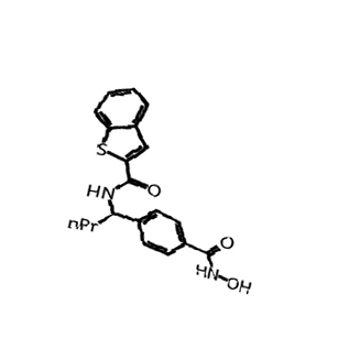 CCC[C@@H](NC(=O)c1cc2ccccc2s1)c1ccc(C(=O)NO)cc1